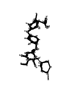 CCn1c(=O)[nH]/c(=N\c2ccc(Oc3nc(C)c(C(=O)O)s3)cc2)n(C[C@H]2CC[C@H](C)CC2)c1=O